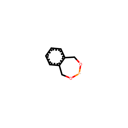 c1ccc2c(c1)CO[P]OC2